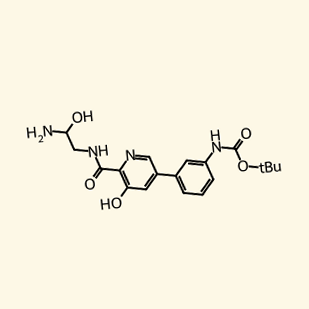 CC(C)(C)OC(=O)Nc1cccc(-c2cnc(C(=O)NCC(N)O)c(O)c2)c1